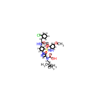 COc1ccc(NS(=O)(=O)c2cc(NC(=O)Cc3ccccc3Cl)ccc2-n2cc(N(CC[Si](C)(C)C)C(=O)O)cn2)c(OC)c1